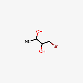 N#CC(O)C(O)CBr